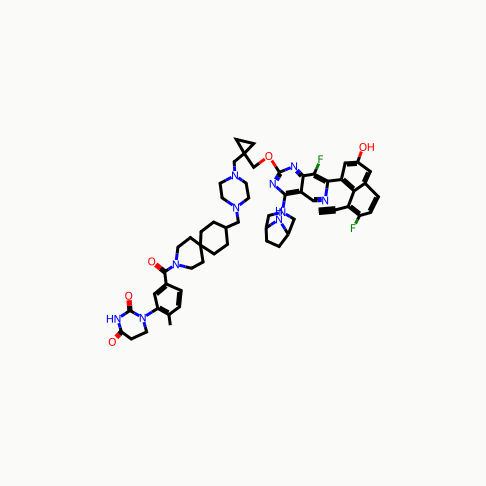 C#Cc1c(F)ccc2cc(O)cc(-c3ncc4c(N5CC6CCC(C5)N6)nc(OCC5(CN6CCN(CC7CCC8(CC7)CCN(C(=O)c7ccc(C)c(N9CCC(=O)NC9=O)c7)CC8)CC6)CC5)nc4c3F)c12